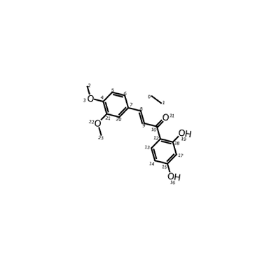 CC.COc1ccc(/C=C/C(=O)c2ccc(O)cc2O)cc1OC